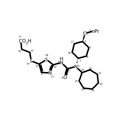 CCCO[C@H]1CC[C@H](N(C(=O)Nc2ncc(SCCC(=O)O)s2)C2CCCCCC2)CC1